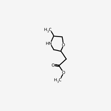 COC(=O)CC1CNC(C)CO1